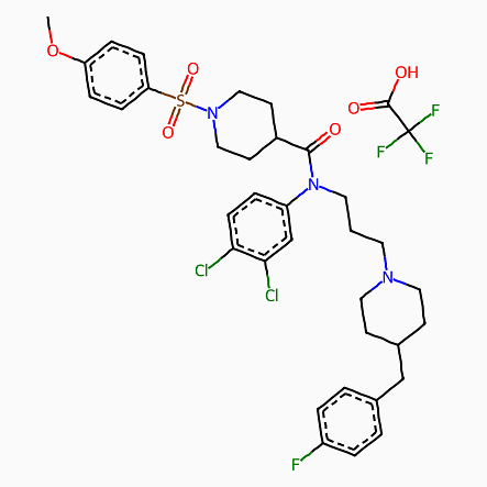 COc1ccc(S(=O)(=O)N2CCC(C(=O)N(CCCN3CCC(Cc4ccc(F)cc4)CC3)c3ccc(Cl)c(Cl)c3)CC2)cc1.O=C(O)C(F)(F)F